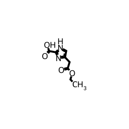 CCOC(=O)Cc1c[nH]c(C(=O)O)n1